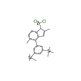 CC1=Cc2c(ccc(C)c2-c2cc([Si](C)(C)C)cc([Si](C)(C)C)c2)[CH]1[Zr]([Cl])[Cl]